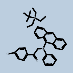 CC[B-](CC)(CC)C(C)(C)C.O=C(C[S+](c1ccccc1)c1c2ccccc2cc2ccccc12)c1ccc(Cl)cc1